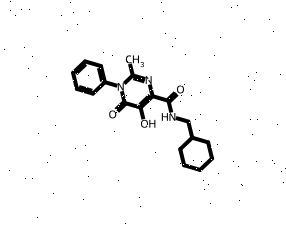 Cc1nc(C(=O)NCC2CCCCC2)c(O)c(=O)n1-c1ccccc1